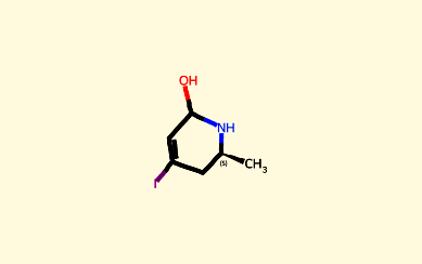 C[C@H]1CC(I)=CC(O)N1